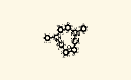 c1ccc(-c2cc(-c3ccccc3)nc(-c3ncc(-c4cccc5c4oc4c(-c6cnc(-c7nc(-c8ccccc8)cc(-c8ccccc8)n7)nc6)cccc45)cn3)n2)cc1